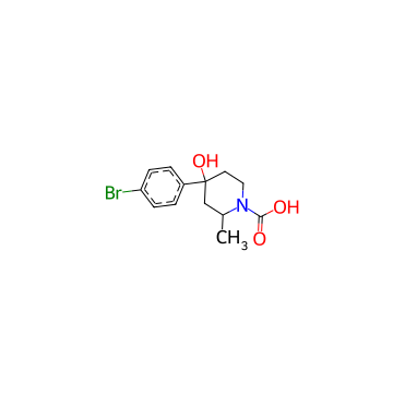 CC1CC(O)(c2ccc(Br)cc2)CCN1C(=O)O